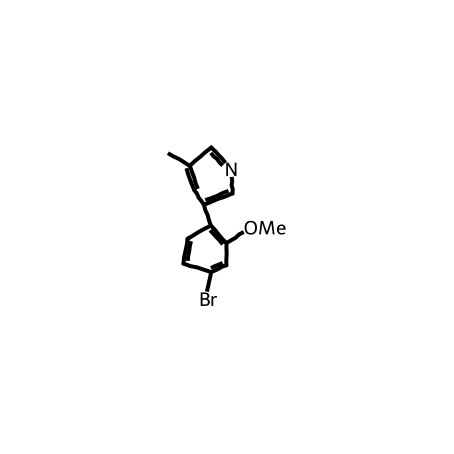 COc1cc(Br)ccc1-c1cncc(C)c1